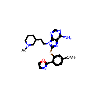 COc1ccc(-c2ncco2)c(Sc2nc3c(N)ncnc3n2CCC2CCCN(C(C)=O)C2)c1